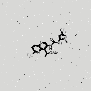 COC(C)c1c(NC(=O)Nc2cc(C(F)(F)F)nn2C)cnc2ccc(C(F)(F)F)nc12